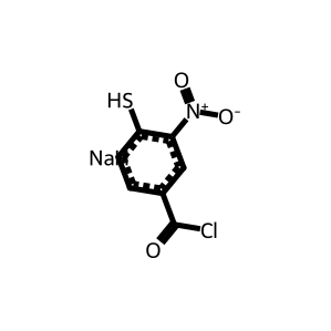 O=C(Cl)c1ccc(S)c([N+](=O)[O-])c1.[NaH]